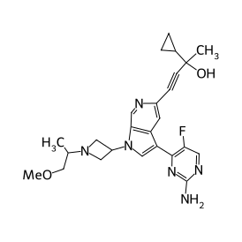 COCC(C)N1CC(n2cc(-c3nc(N)ncc3F)c3cc(C#CC(C)(O)C4CC4)ncc32)C1